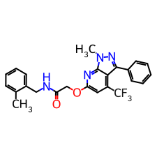 Cc1ccccc1CNC(=O)COc1cc(C(F)(F)F)c2c(-c3ccccc3)nn(C)c2n1